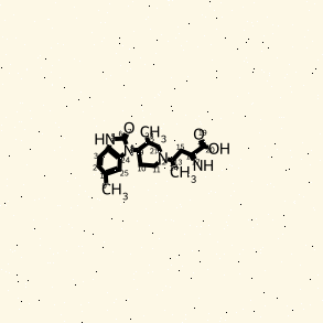 Cc1ccc2[nH]c(=O)n(C3CCN(C(C)CC(=N)C(=O)O)CC3C)c2c1